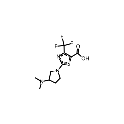 CN(C)C1CCN(c2nc(C(F)(F)F)c(C(=O)O)s2)C1